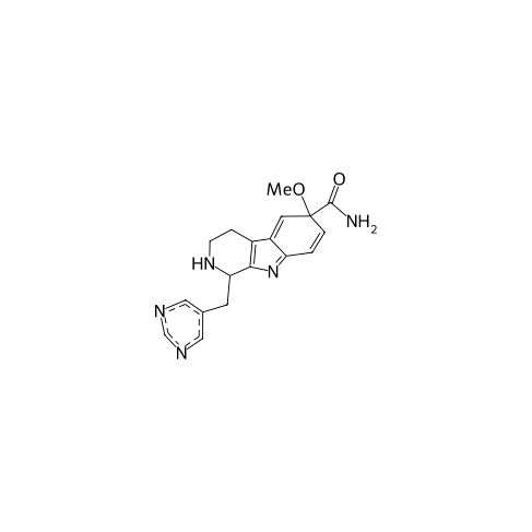 COC1(C(N)=O)C=CC2=NC3=C(CCNC3Cc3cncnc3)C2=C1